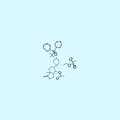 C=C1CCC2C(OC(C)=O)C([C@@]3(C)CC[C@H](O[Si](c4ccccc4)(c4ccccc4)C(C)(C)C)C[C@@H]3CCOS(C)(=O)=O)CCC12C